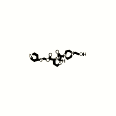 O=C(OCSc1ccncc1)C1=CCS[C@H]2C(N3CCN(CCO)CC3)C(=O)N12